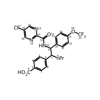 CCCC(c1ccc(C(=O)O)cc1)C(NC(=O)c1ncc(Cl)cn1)c1ccc(OC(F)(F)F)cc1